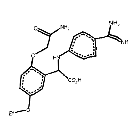 CCOc1ccc(OCC(N)=O)c(C(Nc2ccc(C(=N)N)cc2)C(=O)O)c1